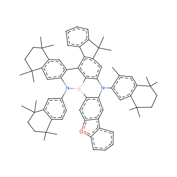 Cc1cc2c(cc1N1c3cc4c(cc3B3c5c1cc1c(c5-c5cc6c(cc5N3c3ccc5c(c3)C(C)(C)CCC5(C)C)C(C)(C)CCC6(C)C)-c3ccccc3C1(C)C)oc1ccccc14)C(C)(C)CCC2(C)C